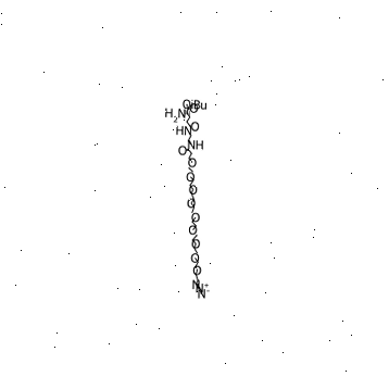 CC(C)COC(=O)[C@@H](N)CCC(=O)NCCNC(=O)CCOCCOCCOCCOCCOCCOCCOCCOCCOCCN=[N+]=[N-]